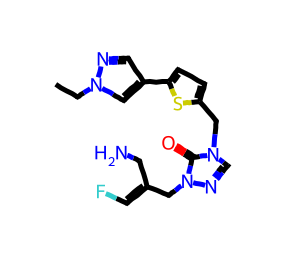 CCn1cc(-c2ccc(Cn3cnn(C/C(=C/F)CN)c3=O)s2)cn1